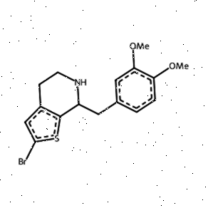 COc1ccc(CC2NCCc3cc(Br)sc32)cc1OC